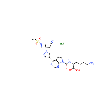 CCS(=O)(=O)N1CC(CC#N)(n2cc(-c3ncnc4c3ccn4C(=O)N[C@@H](CCCCN)C(=O)O)cn2)C1.Cl